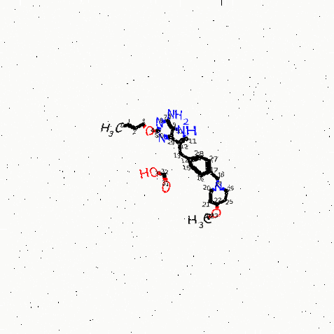 CCCCOc1nc(N)c2[nH]cc(Cc3ccc(CN4CCC(OC)CC4)cc3)c2n1.O=CO